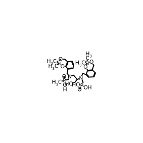 C[Si]1(C)OCc2cccc(CN(CC(CO)N(Cc3cccc4c3O[Si](C)(C)OC4)CP(=O)(O)O)CP(C)(=O)O)c2O1